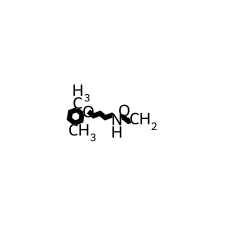 C=CC(=O)NCCCCOC1CC(C)CCC1C